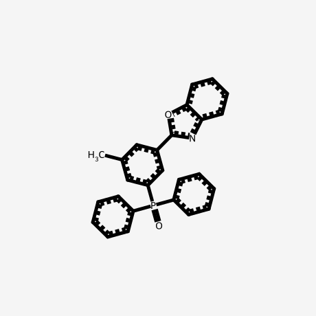 Cc1cc(-c2nc3ccccc3o2)cc(P(=O)(c2ccccc2)c2ccccc2)c1